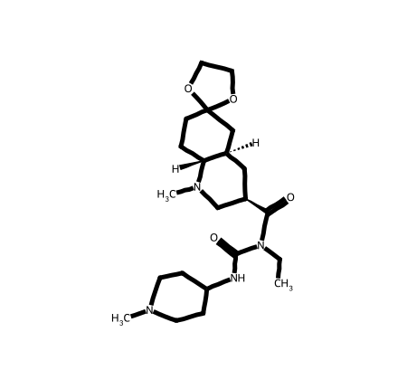 CCN(C(=O)NC1CCN(C)CC1)C(=O)[C@@H]1C[C@@H]2CC3(CC[C@H]2N(C)C1)OCCO3